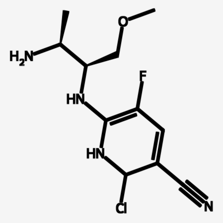 COC[C@@H](NC1=C(F)C=C(C#N)C(Cl)N1)[C@H](C)N